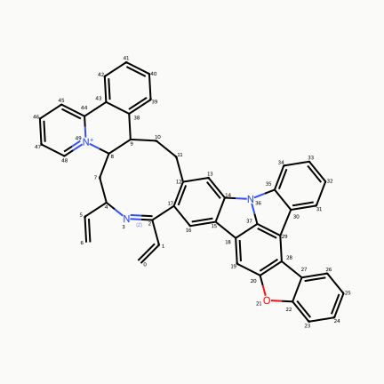 C=C/C1=N/C(C=C)CC2C(CCc3cc4c(cc31)c1cc3oc5ccccc5c3c3c5ccccc5n4c13)c1ccccc1-c1cccc[n+]12